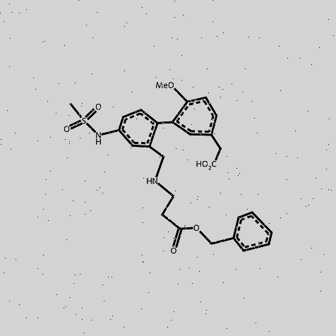 COc1ccc(CC(=O)O)cc1-c1ccc(NS(C)(=O)=O)cc1CNCCC(=O)OCc1ccccc1